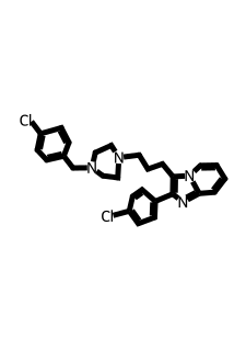 Clc1ccc(CN2CCN(CCCc3c(-c4ccc(Cl)cc4)nc4ccccn34)CC2)cc1